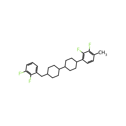 Cc1ccc(C2CCC(C3CCC(Cc4cccc(F)c4F)CC3)CC2)c(F)c1F